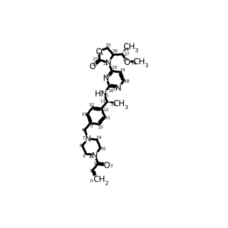 C=CC(=O)N1CCN(Cc2ccc([C@H](C)Nc3nccc(N4C(=O)OCC4[C@H](C)OC)n3)cc2)CC1